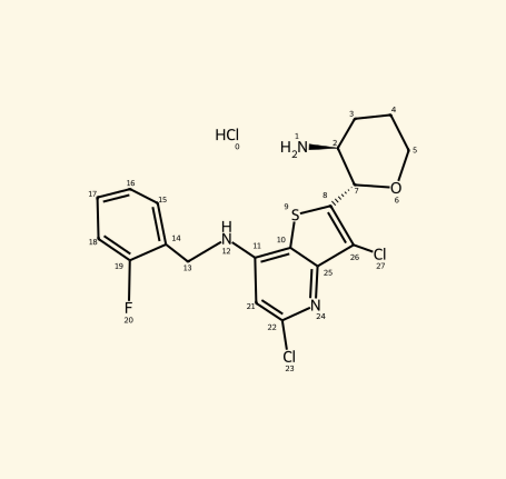 Cl.N[C@H]1CCCO[C@@H]1c1sc2c(NCc3ccccc3F)cc(Cl)nc2c1Cl